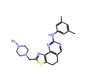 CC(=O)N1CCN(Cc2nc3c(s2)CCc2cnc(Nc4cc(C)cc(C)c4)nc2-3)CC1